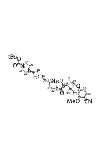 COc1cc(O[C@H]2C(C)(C)[C@H](N3Cc4nc(C#C[C@H]5C[C@H](N6CCN(C(=O)OC(C)(C)C)CC6)C5)ccc4C3=O)C2(C)C)ccc1C#N